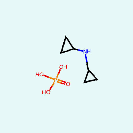 C1CC1NC1CC1.O=P(O)(O)O